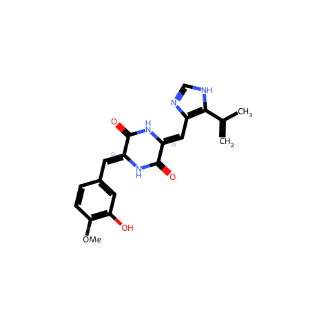 C=C(C)c1[nH]cnc1/C=c1\[nH]c(=O)/c(=C/c2ccc(OC)c(O)c2)[nH]c1=O